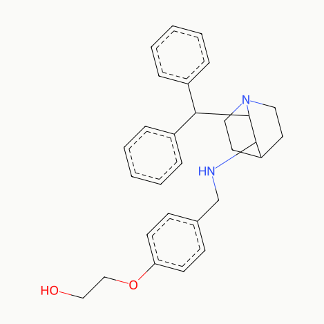 OCCOc1ccc(CNC2C3CCN(CC3)C2C(c2ccccc2)c2ccccc2)cc1